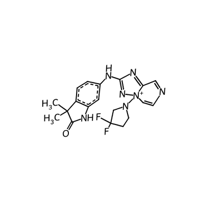 CC1(C)C(=O)Nc2cc(NC3=N[N+]4(N5CCC(F)(F)C5)C=CN=CC4=N3)ccc21